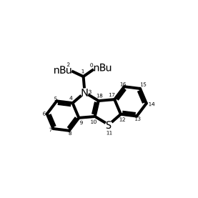 CCCCC(CCCC)n1c2ccccc2c2sc3ccccc3c21